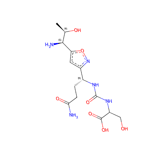 C[C@@H](O)[C@H](N)c1cc([C@@H](CCC(N)=O)NC(=O)NC(CO)C(=O)O)no1